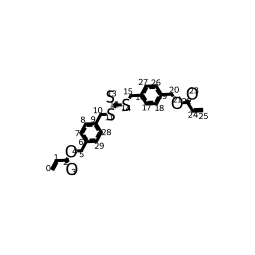 C=CC(=O)OCc1ccc(CSC(=S)SCc2ccc(COC(=O)C=C)cc2)cc1